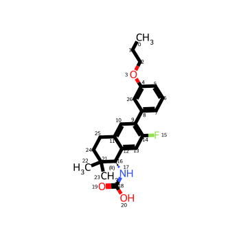 CCCOc1cccc(-c2cc3c(cc2F)[C@H](NC(=O)O)C(C)(C)CC3)c1